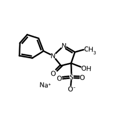 CC1=NN(c2ccccc2)C(=O)C1(O)S(=O)(=O)[O-].[Na+]